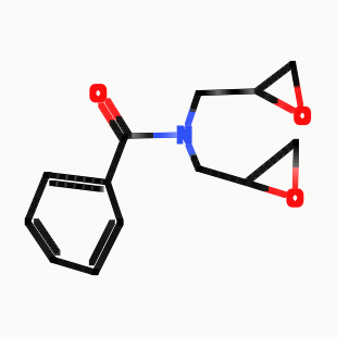 O=C(c1ccccc1)N(CC1CO1)CC1CO1